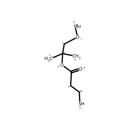 CC(C)(C)OCC(C)(C)OC(=O)CCS